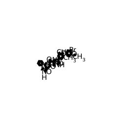 COc1ccc(Oc2c(C)cc(-n3nc(C(=O)N4CCC5(CC4)C(=O)NCN5c4ccccc4)c(=O)[nH]c3=O)cc2C)cc1Br